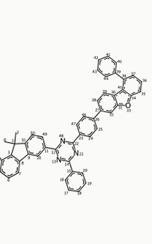 CC1(C)c2ccccc2-c2cc(-c3nc(-c4ccccc4)nc(-c4ccc(-c5ccc6c(c5)oc5cccc(-c7ccccc7)c56)cc4)n3)ccc21